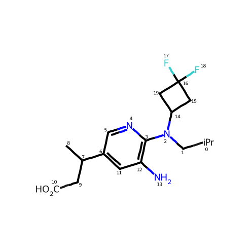 CC(C)CN(c1ncc(C(C)CC(=O)O)cc1N)C1CC(F)(F)C1